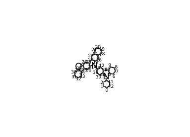 c1ccc(-n2c3ccccc3c3cc(-n4c5cc6ccccc6cc5c5cc6oc7ccccc7c6cc54)ccc32)cc1